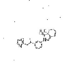 CC(Cc1ncco1)c1cccc(N2C=C3C=CC=C[C@]3(C(F)(F)F)C2=O)c1